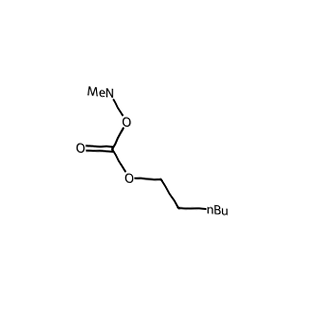 CCCCCCOC(=O)ONC